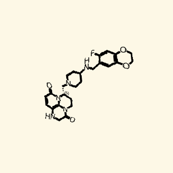 O=C1CNc2ccc(=O)n3c2N1CC[C@H]3CN1CCC(NCc2cc3c(cc2F)OCCO3)CC1